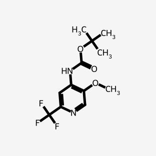 COc1cnc(C(F)(F)F)cc1NC(=O)OC(C)(C)C